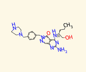 CCC[C@@H](CO)Nc1nc(N)nc2cnn(Cc3ccc(CN4CCNCC4)cc3)c(=O)c12